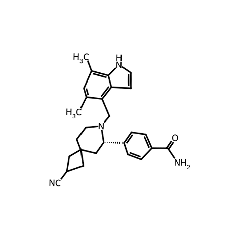 Cc1cc(C)c2[nH]ccc2c1CN1CCC2(CC(C#N)C2)C[C@H]1c1ccc(C(N)=O)cc1